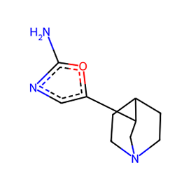 Nc1ncc(C2CN3CCC2CC3)o1